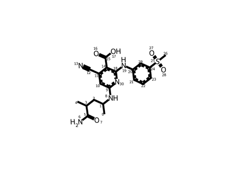 CC(CC(C)C(N)=O)Nc1cc(C#N)c(C(=O)O)c(Nc2cccc(S(C)(=O)=O)c2)n1